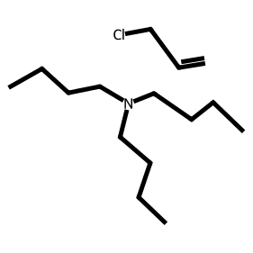 C=CCCl.CCCCN(CCCC)CCCC